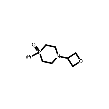 CC(C)P1(=O)CCN(C2COC2)CC1